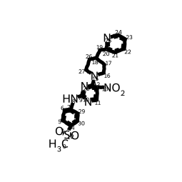 CS(=O)(=O)c1ccc(Nc2ncc([N+](=O)[O-])c(N3CCC(Cc4ccccn4)CC3)n2)cc1